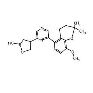 COc1ccc(-c2cncc(C3COB(O)C3)n2)c2c1OC(C)(C)CC2